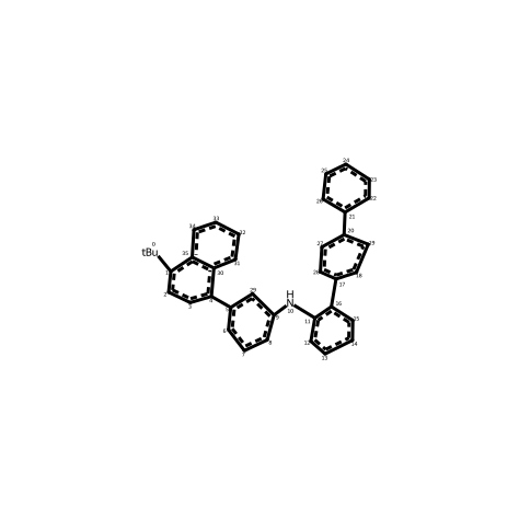 CC(C)(C)c1ccc(-c2cccc(Nc3ccccc3-c3ccc(-c4ccccc4)cc3)c2)c2ccccc12